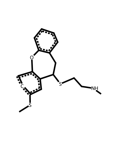 CNCCSC1Cc2ccccc2Oc2ccc(SC)cc21